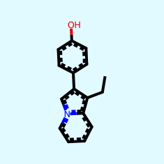 CCc1c(-c2ccc(O)cc2)cn2ccccc12